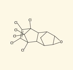 ClC1=C(Cl)C2(Cl)C3C4CC(C5OC45)C3C1(Cl)C2(Cl)Cl